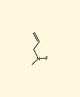 C=CCN(C)F